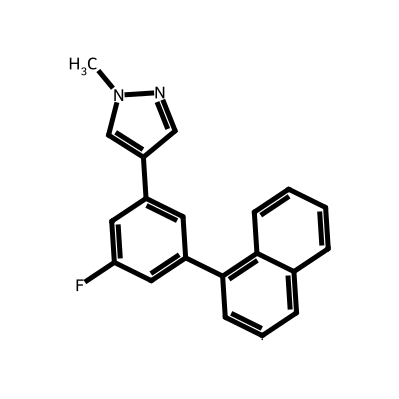 Cn1cc(-c2cc(F)cc(-c3c[c]cc4ccccc34)c2)cn1